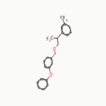 FC(F)(F)c1cccc(C(COCc2cccc(Oc3ccccc3)c2)C(F)(F)F)c1